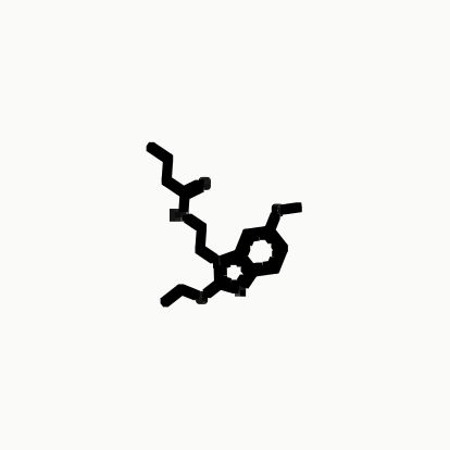 CCCC(=O)NCCn1c(OCC)nc2ccc(OC)cc21